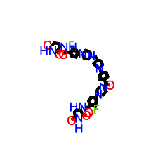 O=C1CC[C@H](NC(=O)c2ccc(N3CCN(CC4CCN(c5ccc(C(=O)N6CCN(c7ccc(C(=O)N[C@H]8CCC(=O)NC8=O)c(F)c7)CC6)cc5)CC4)CC3)cc2F)C(=O)N1